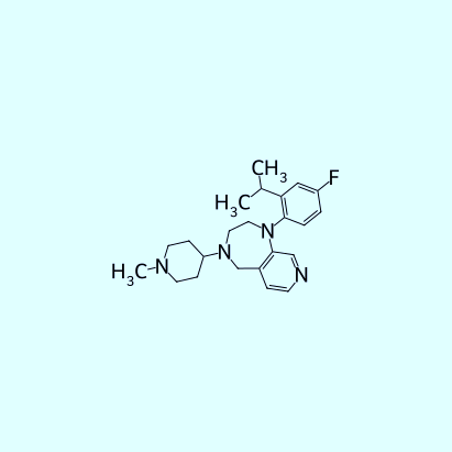 CC(C)c1cc(F)ccc1N1CCN(C2CCN(C)CC2)Cc2ccncc21